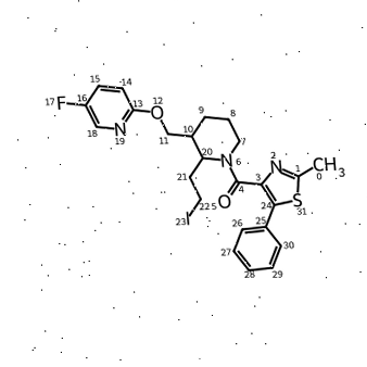 Cc1nc(C(=O)N2CCCC(COc3ccc(F)cn3)C2CCI)c(-c2ccccc2)s1